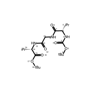 CC(C)[C@H](NC(=O)OC(C)(C)C)C(=O)NCC(=O)N[C@H](C(=O)OC(C)(C)C)C(C)C